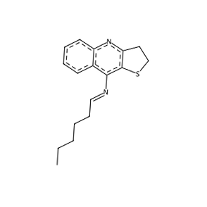 CCCCCC=Nc1c2c(nc3ccccc13)CCS2